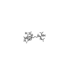 C[SiH2]O[SiH](C)O[Si](C)(CCCN(C)/C(=N/C(C)C)NC(C)C)O[SiH2]C